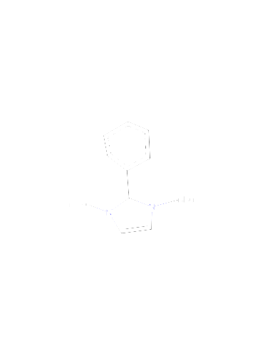 CCCCCCN1C=CN(CCCC)C1c1ccccc1